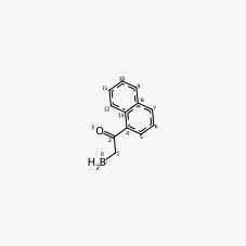 BCC(=O)c1cccc2ccccc12